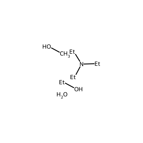 CCN(CC)CC.CCO.CO.O